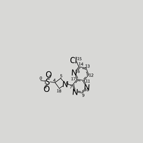 CS(=O)(=O)C1CN(c2ncnc3ccc(Cl)nc23)C1